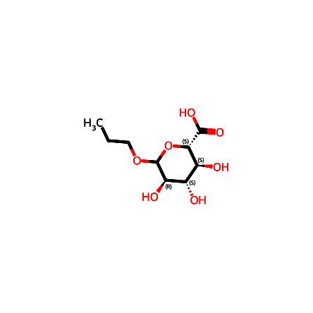 CCCOC1O[C@H](C(=O)O)[C@@H](O)[C@H](O)[C@H]1O